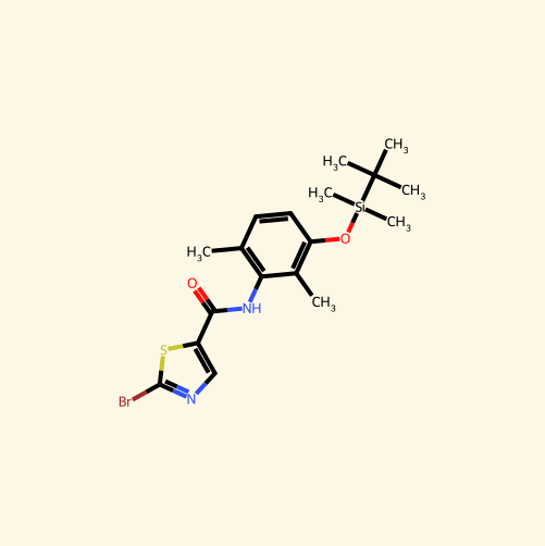 Cc1ccc(O[Si](C)(C)C(C)(C)C)c(C)c1NC(=O)c1cnc(Br)s1